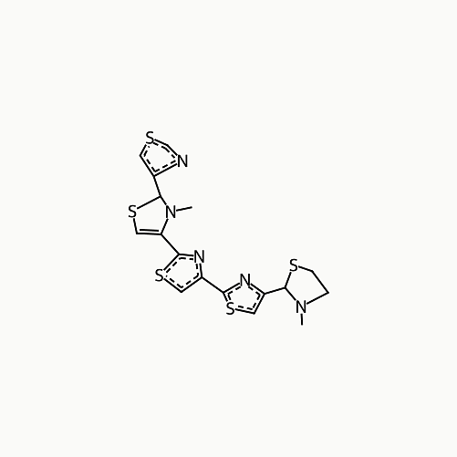 CN1CCSC1c1csc(-c2csc(C3=CSC(c4cscn4)N3C)n2)n1